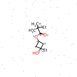 CCC1(O)CC(OC(=O)C(C)(C)CC)C1